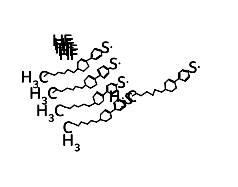 CCCCCCCC1CC=C(c2ccc([S])cc2)CC1.CCCCCCCC1CC=C(c2ccc([S])cc2)CC1.CCCCCCCC1CC=C(c2ccc([S])cc2)CC1.CCCCCCCC1CC=C(c2ccc([S])cc2)CC1.CCCCCCCC1CC=C(c2ccc([S])cc2)CC1.F.F.F.F.F